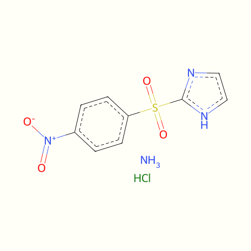 Cl.N.O=[N+]([O-])c1ccc(S(=O)(=O)c2ncc[nH]2)cc1